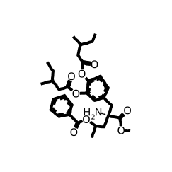 CCC(C)CC(=O)Oc1ccc(C[C@](N)(CC(C)OC(=O)c2ccccc2)C(=O)OC)cc1OC(=O)CC(C)CC